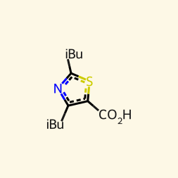 CCC(C)c1nc(C(C)CC)c(C(=O)O)s1